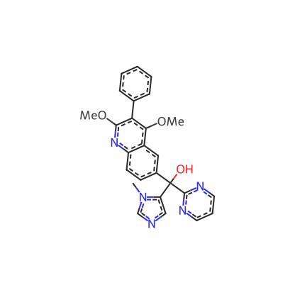 COc1nc2ccc(C(O)(c3ncccn3)c3cncn3C)cc2c(OC)c1-c1ccccc1